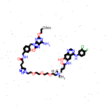 COCCOc1nc(N)c2nc(O)n(Cc3ccc(CNC(=O)CCc4cn(CCOCCOCCOCC[N+](C)(C)C/C=C/C(=O)Nc5cc6c(Nc7ccc(F)c(Cl)c7)ncnc6cc5O)nn4)cc3)c2n1